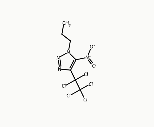 CCCn1nnc(C(Cl)(Cl)C(Cl)(Cl)Cl)c1[N+](=O)[O-]